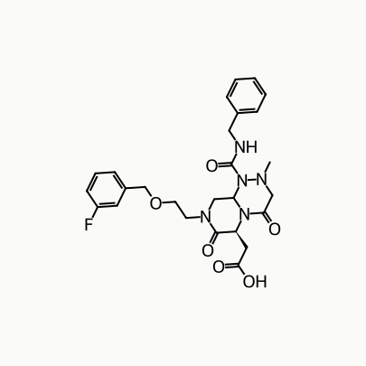 CN1CC(=O)N2C(CN(CCOCc3cccc(F)c3)C(=O)[C@@H]2CC(=O)O)N1C(=O)NCc1ccccc1